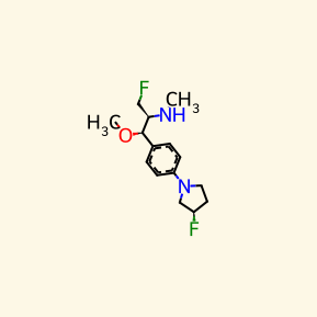 CN[C@H](CF)[C@H](OC)c1ccc(N2CC[C@@H](F)C2)cc1